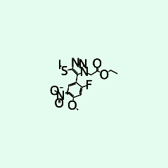 CCOC(=O)Cn1nnc(SI)c1-c1cc([N+](=O)[O-])c(OC)cc1F